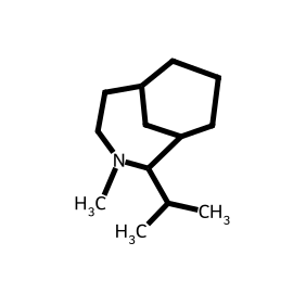 CC(C)C1C2CCCC(CCN1C)C2